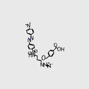 CN(C)c1ccc(/N=N/c2ccc(S(=O)(=O)NCCC(N=[N+]=[N-])OCc3ccc(C(=O)O)cc3)cc2)cc1